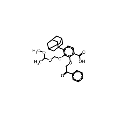 COC(C)OCOc1c(C23CC4CC(CC(C4)C2)C3)ccc(C(=O)O)c1OCC(=O)c1ccccc1